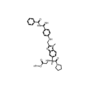 CCCOC(=O)CN[C@@](C)(C(=O)N1CCCC1)c1ccc2c(c1)nc(CNc1ccc(C(=N)NC(=O)c3ccccc3)cc1)n2C